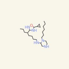 CCCCCCCN1CCNCC1NCCCCC(CCC)C1NOC(C2CC2)N1